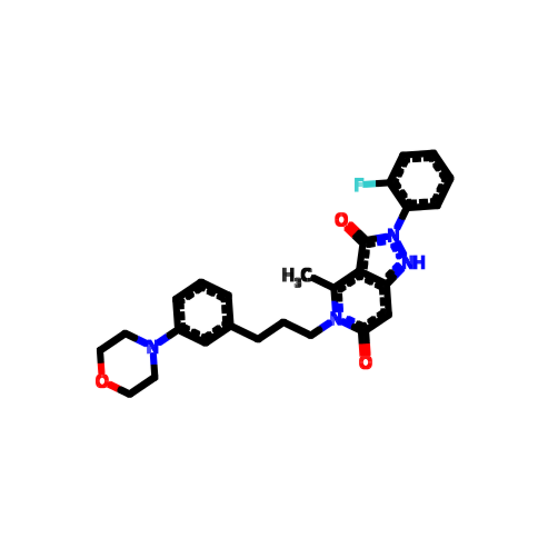 Cc1c2c(=O)n(-c3ccccc3F)[nH]c2cc(=O)n1CCCc1cccc(N2CCOCC2)c1